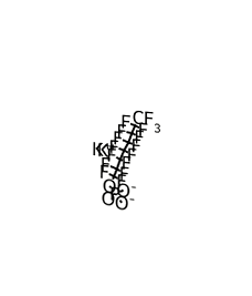 O=P([O-])([O-])OC(F)(F)C(F)(F)C(F)(F)C(F)(F)C(F)(F)C(F)(F)C(F)(F)C(F)(F)F.[K+].[K+]